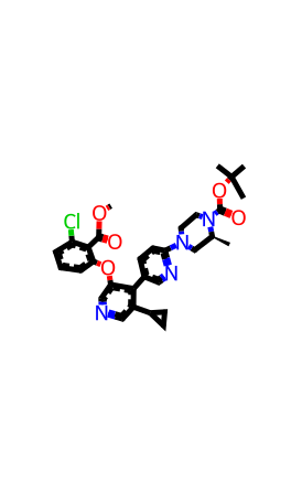 COC(=O)c1c(Cl)cccc1Oc1cncc(C2CC2)c1-c1ccc(N2CCN(C(=O)OC(C)(C)C)[C@@H](C)C2)nc1